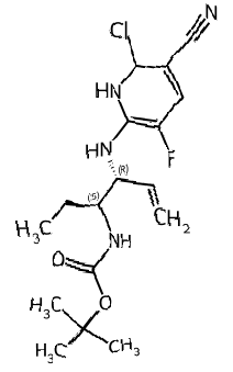 C=C[C@@H](NC1=C(F)C=C(C#N)C(Cl)N1)[C@H](CC)NC(=O)OC(C)(C)C